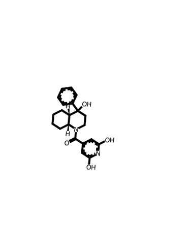 O=C(c1cc(O)nc(O)c1)N1CCC(O)(c2ccccc2)[C@H]2CCCC[C@H]21